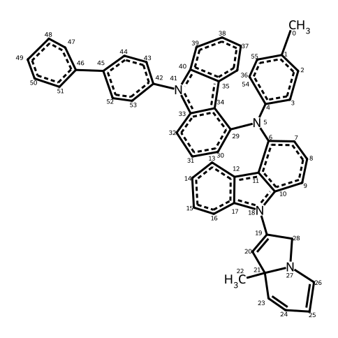 Cc1ccc(N(c2cccc3c2c2ccccc2n3C2=CC3(C)C=CC=CN3C2)c2cccc3c2c2ccccc2n3-c2ccc(-c3ccccc3)cc2)cc1